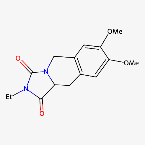 CCN1C(=O)C2Cc3cc(OC)c(OC)cc3CN2C1=O